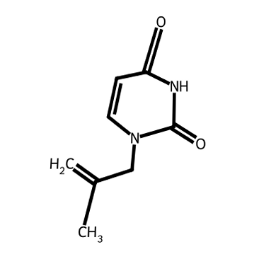 C=C(C)Cn1ccc(=O)[nH]c1=O